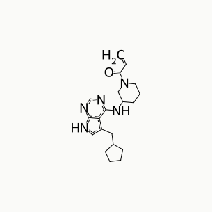 C=CC(=O)N1CCCC(Nc2ncnc3[nH]cc(CC4CCCC4)c23)C1